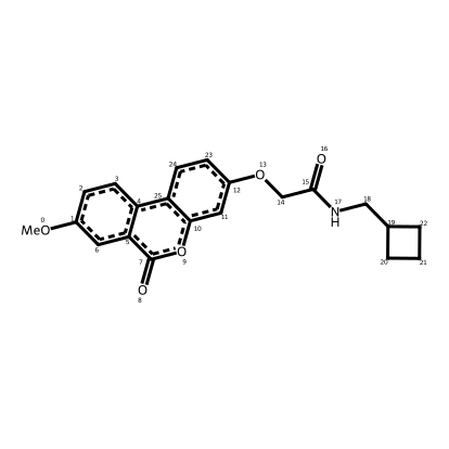 COc1ccc2c(c1)c(=O)oc1cc(OCC(=O)NCC3CCC3)ccc12